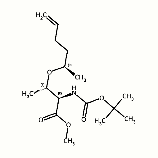 C=CCC[C@@H](C)O[C@@H](C)[C@@H](NC(=O)OC(C)(C)C)C(=O)OC